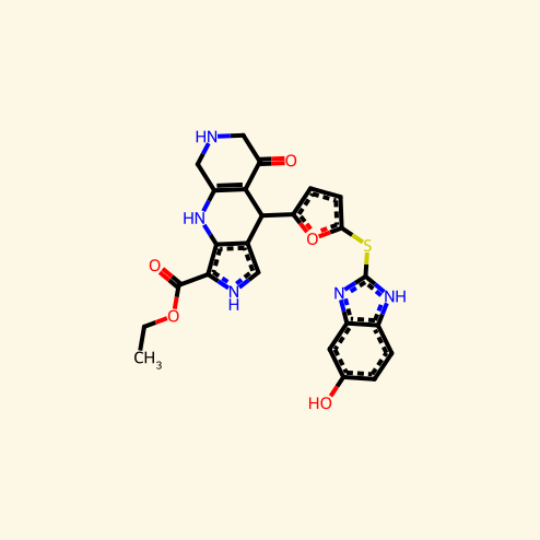 CCOC(=O)c1[nH]cc2c1NC1=C(C(=O)CNC1)C2c1ccc(Sc2nc3cc(O)ccc3[nH]2)o1